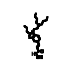 CCCCN(CCCC)CCn1c(CCC)nc2cc(C=CC(=O)NO)ccc21